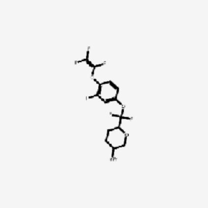 CCCC1CCC(C(F)(F)Oc2ccc(OC(F)=C(F)F)c(F)c2)OC1